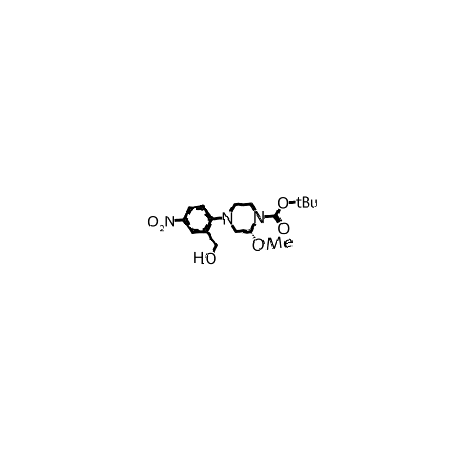 CO[C@@H]1CN(c2ccc([N+](=O)[O-])cc2CO)CCN1C(=O)OC(C)(C)C